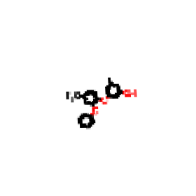 Cc1cc(O)cc(Oc2ccc(C(F)(F)F)cc2Oc2ccccc2)c1